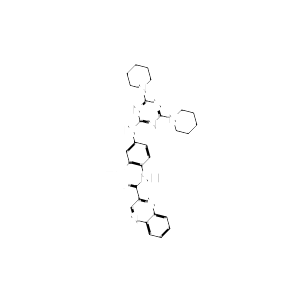 O=C(Nc1ccc(Nc2nc(N3CCCCC3)nc(N3CCCCC3)n2)cc1O)c1cnc2ccccc2n1